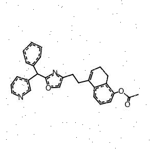 CC(=O)Oc1cccc2c1CCC=C2CCc1coc(C(c2ccccc2)c2cccnc2)n1